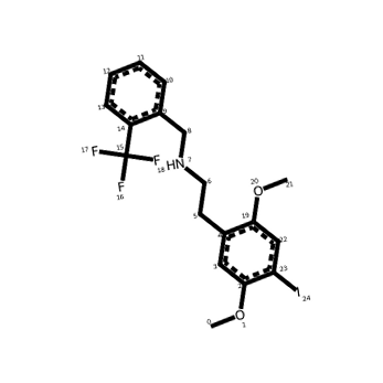 COc1cc(CCNCc2ccccc2C(F)(F)F)c(OC)cc1I